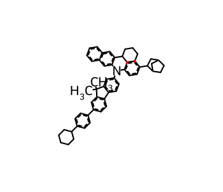 CC1(C)c2cc(-c3ccc(C4CCCCC4)cc3)ccc2-c2ccc(N(c3ccc(C4CC5CCC4C5)cc3)c3cc4ccccc4cc3C3CCCCC3)cc21